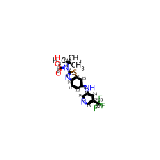 CC(C)(C)N(C(=O)O)c1nc2ccc(Nc3cncc(C(F)(F)F)c3)cc2s1